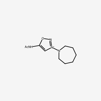 CC(=O)[N-]c1c[n+](N2CCCCCC2)no1